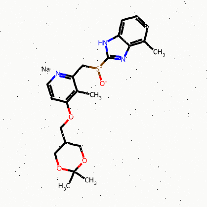 Cc1c(OCC2COC(C)(C)OC2)ccnc1C[S+]([O-])c1nc2c(C)cccc2[nH]1.[Na]